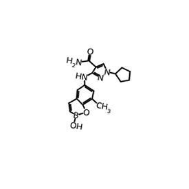 Cc1cc(Nc2nn(C3CCCC3)cc2C(N)=O)cc2c1OB(O)C=C2